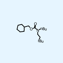 CCCCN(CCC(C)(C)C)C(=O)OCC1CCCCC1